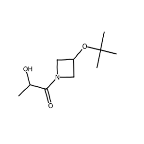 CC(O)C(=O)N1CC(OC(C)(C)C)C1